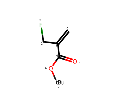 C=C(CF)C(=O)OC(C)(C)C